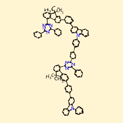 CC1(C)c2cc(-c3ccc(-c4ccc5c(c4)c4ccccc4n5-c4ccccc4)cc3)ccc2-c2c(-c3nc(-c4ccccc4)nc(-c4ccc(-c5ccc(-n6c7ccccc7c7cc(-c8cccc(-c9ccc%10c(c9)C(C)(C)c9cccc(-c%11nc(-c%12ccccc%12)nc(-c%12ccccc%12)n%11)c9-%10)c8)ccc76)cc5)cc4)n3)cccc21